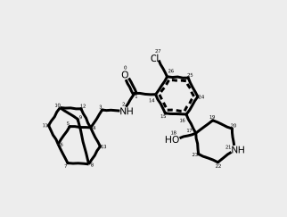 O=C(NCC12CC3CC(CC(C3)C1)C2)c1cc(C2(O)CCNCC2)ccc1Cl